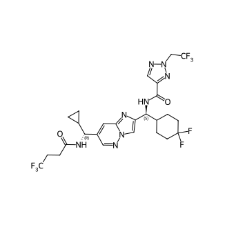 O=C(CCC(F)(F)F)N[C@@H](c1cnn2cc([C@@H](NC(=O)c3cnn(CC(F)(F)F)n3)C3CCC(F)(F)CC3)nc2c1)C1CC1